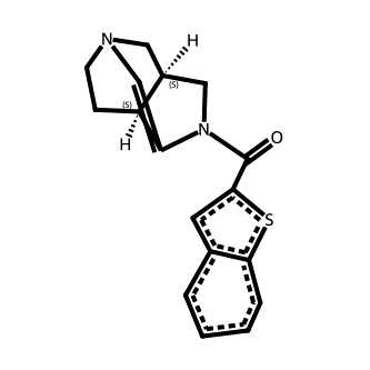 O=C(c1cc2ccccc2s1)N1C[C@@H]2CN3C=C1[C@H]2CC3